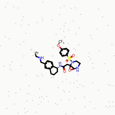 CC(C)CNCc1ccc2c(c1)CCC[C@H]2NC(=O)CC12OC1NCCN2S(=O)(=O)c1ccc(OC(F)(F)F)cc1